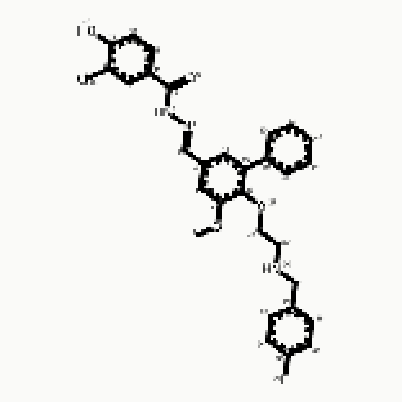 COc1cc(/C=N/NC(=O)c2ccc(O)c(Cl)c2)cc(-c2ccccc2)c1OCCNCc1ccc(F)cc1